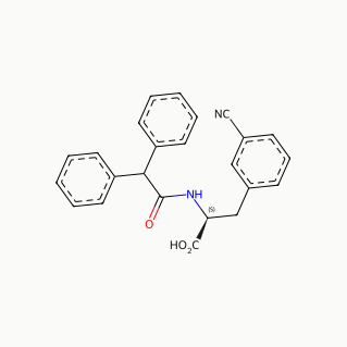 N#Cc1cccc(C[C@H](NC(=O)C(c2ccccc2)c2ccccc2)C(=O)O)c1